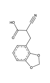 N#CC(Cc1cccc2c1OCO2)C(=O)O